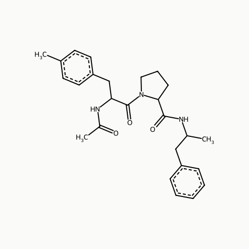 CC(=O)NC(Cc1ccc(C)cc1)C(=O)N1CCCC1C(=O)NC(C)Cc1ccccc1